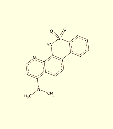 CN(C)c1ccnc2c3c(ccc12)-c1ccccc1S(=O)(=O)N3